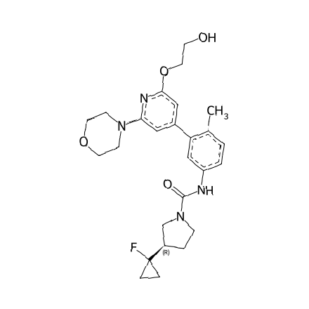 Cc1ccc(NC(=O)N2CC[C@@H](C3(F)CC3)C2)cc1-c1cc(OCCO)nc(N2CCOCC2)c1